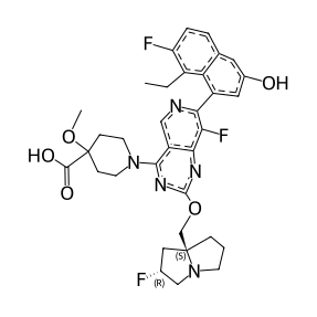 CCc1c(F)ccc2cc(O)cc(-c3ncc4c(N5CCC(OC)(C(=O)O)CC5)nc(OC[C@@]56CCCN5C[C@H](F)C6)nc4c3F)c12